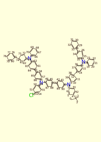 CC(C)(C)c1ccc(N(c2ccc(-c3ccc(N(c4ccccc4)c4ccc(-c5ccccc5)cc4)cc3)cc2)c2ccc(-c3ccc(N(c4ccc(Cl)cc4)c4ccc(-c5ccc(N(c6ccccc6)c6ccc(-c7ccccc7)cc6)cc5)cc4)cc3)cc2)cc1